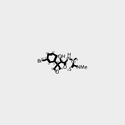 CNC(=S)N(C)NC(=O)C(O)C1(c2cccc(Br)c2)COC1